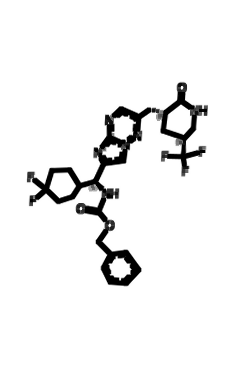 O=C(N[C@H](c1cn2nc(C[C@H]3C[C@H](C(F)(F)F)CNC3=O)cnc2n1)C1CCC(F)(F)CC1)OCc1ccccc1